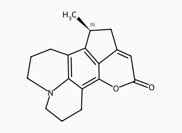 C[C@H]1Cc2cc(=O)oc3c4c5c(c1c23)CCCN5CCC4